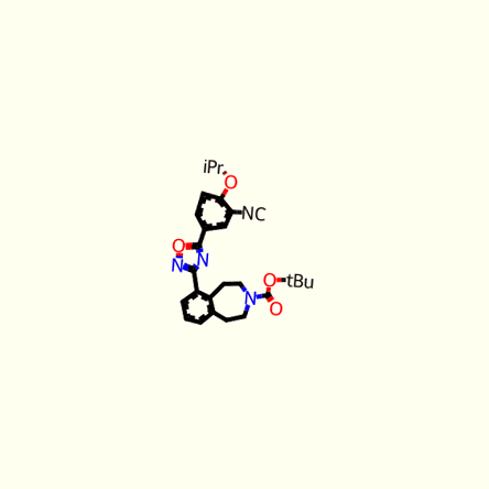 [C-]#[N+]c1cc(-c2nc(-c3cccc4c3CCN(C(=O)OC(C)(C)C)CC4)no2)ccc1OC(C)C